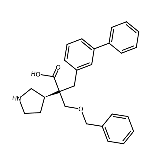 O=C(O)C(COCc1ccccc1)(Cc1cccc(-c2ccccc2)c1)[C@H]1CCNC1